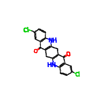 O=c1c2c([nH]c3ccc(Cl)cc13)Cc1c([nH]c3ccc(Cl)cc3c1=O)C2